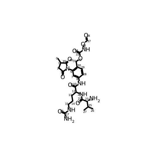 CC1CC(=O)N(c2cc(NC(=O)C(CCCNC(N)=O)NC(=O)[C@@H](N)C(C)C)ccc2COC(=O)NOC=O)C1=O